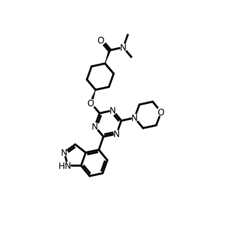 CN(C)C(=O)[C@H]1CC[C@@H](Oc2nc(-c3cccc4[nH]ncc34)nc(N3CCOCC3)n2)CC1